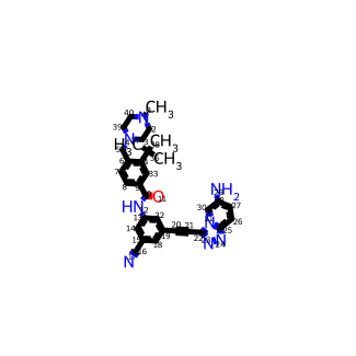 CN1CCN(Cc2ccc(C(=O)Nc3cc(C#N)cc(C#Cc4nnc5ccc(N)cn45)c3)cc2C(C)(C)C)CC1